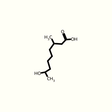 CC(O)CCCCC(C)CC(=O)O